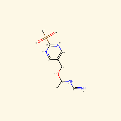 CC(NC=N)OCc1cnc(S(C)(=O)=O)nc1